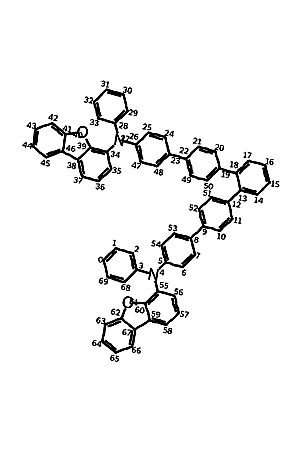 c1ccc(N(c2ccc(-c3ccc(-c4ccccc4-c4ccc(-c5ccc(N(c6ccccc6)c6cccc7c6oc6ccccc67)cc5)cc4)cc3)cc2)c2cccc3c2oc2ccccc23)cc1